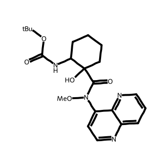 CON(C(=O)C1(O)CCCCC1NC(=O)OC(C)(C)C)c1ccnc2cccnc12